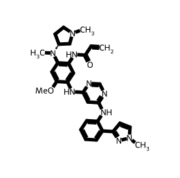 C=CC(=O)Nc1cc(Nc2cc(Nc3ccccc3-c3ccn(C)n3)ncn2)c(OC)cc1N(C)[C@@H]1CCN(C)C1